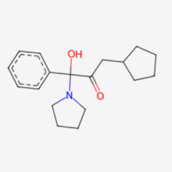 O=C(CC1CCCC1)C(O)(c1ccccc1)N1CCCC1